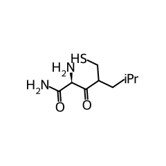 CC(C)CC(CS)C(=O)[C@H](N)C(N)=O